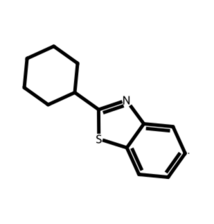 [c]1ccc2sc(C3CCCCC3)nc2c1